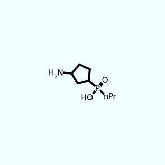 CCCP(=O)(O)C1CCC(N)C1